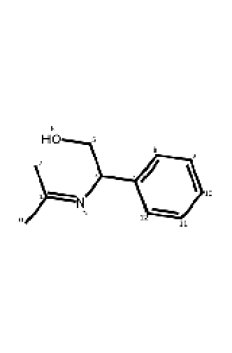 CC(C)=NC(CO)c1ccccc1